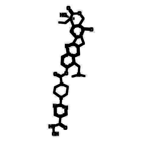 CC[C@@]1(O)C(=O)OCc2c1cc1n(c2=O)Cc2cc3c(CN(C)C)c(OC(=O)N4CCN(c5ncc(C(=O)NO)cn5)CC4)ccc3nc2-1